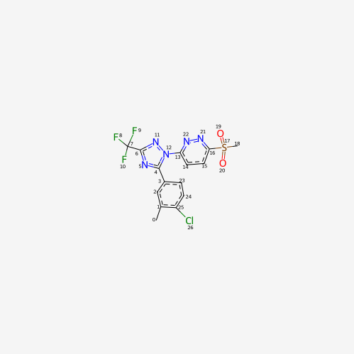 Cc1cc(-c2nc(C(F)(F)F)nn2-c2ccc(S(C)(=O)=O)nn2)ccc1Cl